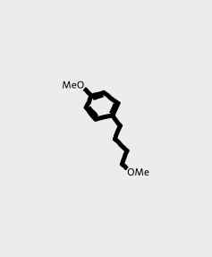 COCCCCc1ccc(OC)cc1